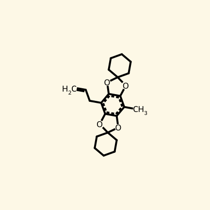 C=CCc1c2c(c(C)c3c1OC1(CCCCC1)O3)OC1(CCCCC1)O2